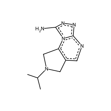 CC(C)N1Cc2cnc3nnc(N)n3c2C1